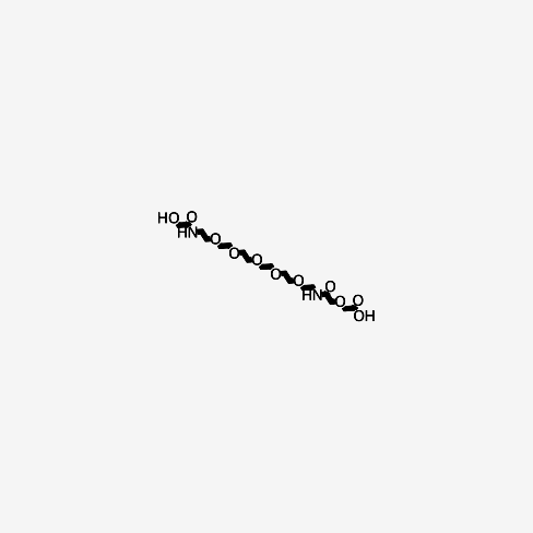 O=C(O)COCC(=O)NCCOCCOCCOCCOCCOCCNC(=O)CO